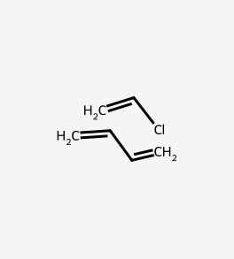 C=CC=C.C=CCl